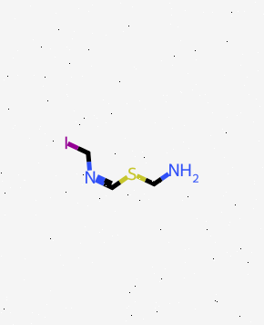 NCS/C=N\CI